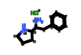 Cl.NC(Cc1ccccc1)C1CCCN1